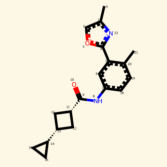 Cc1coc(-c2cc(NC(=O)[C@H]3C[C@@H](C4CC4)C3)ccc2C)n1